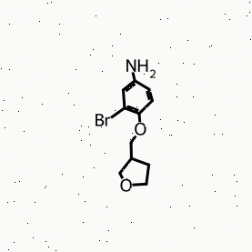 Nc1ccc(OCC2CCOC2)c(Br)c1